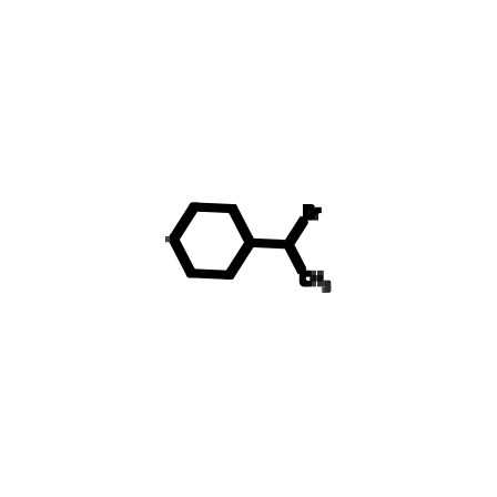 CC(Br)[C]1CC[CH]CC1